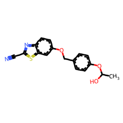 CC(O)Oc1ccc(COc2ccc3nc(C#N)sc3c2)cc1